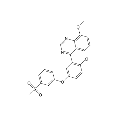 COc1cccc2c(-c3cc(Oc4cccc(S(C)(=O)=O)c4)ccc3Cl)ncnc12